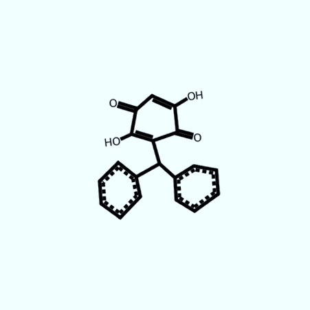 O=C1C=C(O)C(=O)C(C(c2ccccc2)c2ccccc2)=C1O